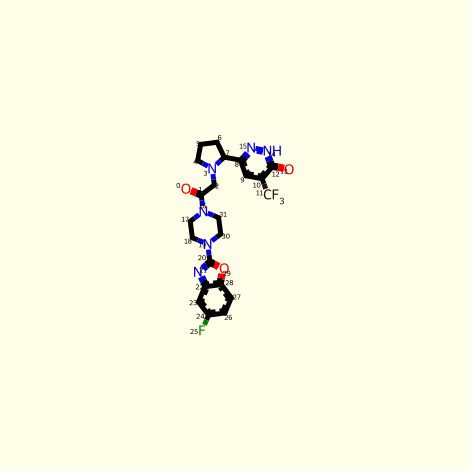 O=C(CN1CCCC1c1cc(C(F)(F)F)c(=O)[nH]n1)N1CCN(c2nc3cc(F)ccc3o2)CC1